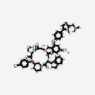 C[C@H]1C(=O)N[C@@H](CO)C(=O)N[C@@]2(Cc3ccc(Cl)cc3)CCCN(C2)C(=O)[C@H]([C@@H]2CCc3ccccc32)CC(=O)N1Cc1ccc(C(F)(F)F)cc1Oc1ccc(-c2cnc(CN(C)C)n2C)cc1